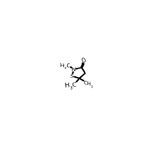 CN1SC(C)(C)CC1=O